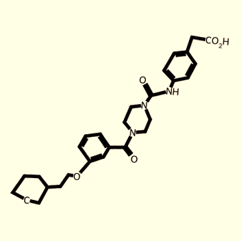 O=C(O)Cc1ccc(NC(=O)N2CCN(C(=O)c3cccc(OCCC4CCCCC4)c3)CC2)cc1